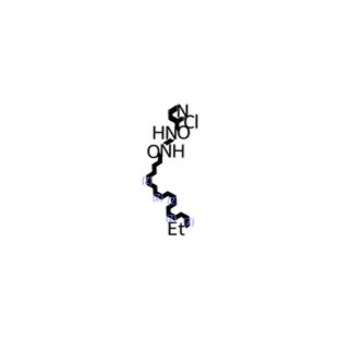 CC/C=C\C/C=C\C/C=C\C/C=C\C/C=C\CCCC(=O)NCCNC(=O)c1cccnc1Cl